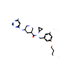 COCCCOc1cc(CN(C(=O)C2CNCC(Nc3cc(Cl)ncn3)C2)C2CC2)cc(OC)c1